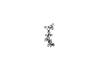 CC[C@@H]1C(=O)N(C)c2cnc(Nc3ccc(C(=O)NC4CCN(CC[C@H](N)C(=O)OC5CCCC5)CC4)cc3OC)nc2N1C1CCCC1